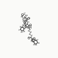 O=C(CCCCCNC(=O)C(CNC(=O)N1CCOCC1)S(=O)(=O)Cc1ccccc1)c1nc2ccccc2o1